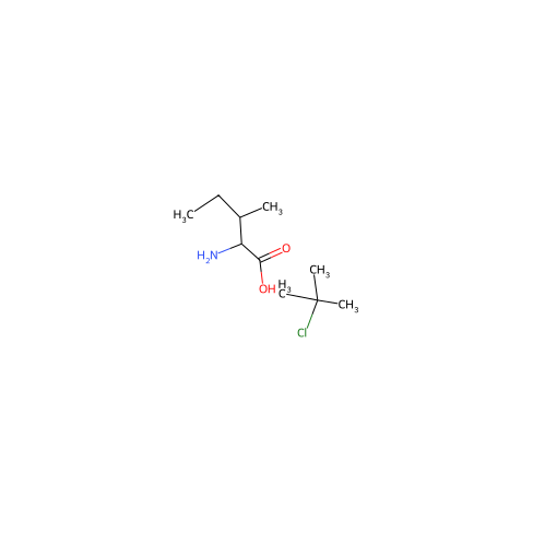 CC(C)(C)Cl.CCC(C)C(N)C(=O)O